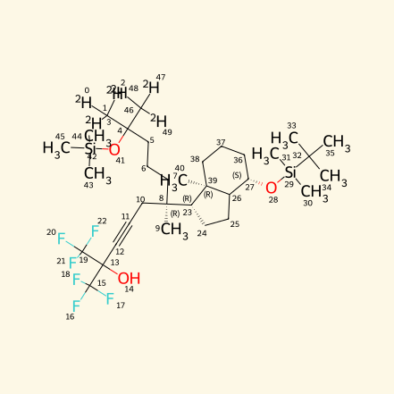 [2H]C([2H])([2H])C(CCC[C@](C)(CC#CC(O)(C(F)(F)F)C(F)(F)F)[C@H]1CCC2[C@@H](O[Si](C)(C)C(C)(C)C)CCC[C@@]21C)(O[Si](C)(C)C)C([2H])([2H])[2H]